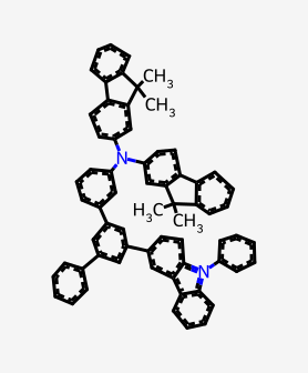 CC1(C)c2ccccc2-c2ccc(N(c3cccc(-c4cc(-c5ccccc5)cc(-c5ccc6c(c5)c5ccccc5n6-c5ccccc5)c4)c3)c3ccc4c(c3)C(C)(C)c3ccccc3-4)cc21